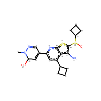 CN1N=CC(c2cc(C3CCC3)c3c(N)c([S+]([O-])C4CCC4)sc3n2)=CC1O